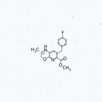 COC(=O)c1nc2c(cc1Cc1ccc(F)cc1)N[C@@H](C)CO2